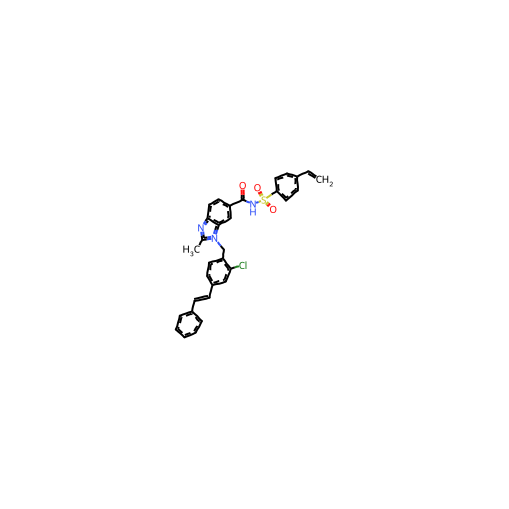 C=Cc1ccc(S(=O)(=O)NC(=O)c2ccc3nc(C)n(Cc4ccc(C=Cc5ccccc5)cc4Cl)c3c2)cc1